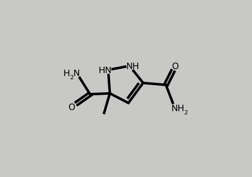 CC1(C(N)=O)C=C(C(N)=O)NN1